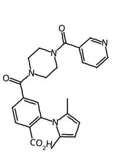 Cc1ccc(C)n1-c1cc(C(=O)N2CCN(C(=O)c3cccnc3)CC2)ccc1C(=O)O